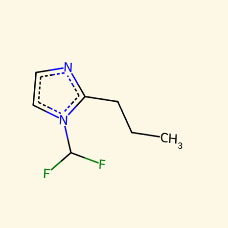 CCCc1nccn1C(F)F